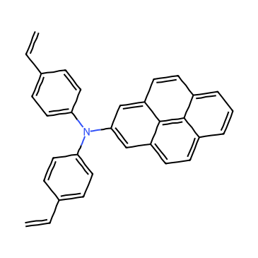 C=Cc1ccc(N(c2ccc(C=C)cc2)c2cc3ccc4cccc5ccc(c2)c3c45)cc1